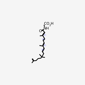 C=C(C)CCCC(C)(C)C/C=C/C(C)=C/C=C/C(C)=C/C(=O)NCC(=O)O